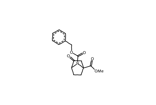 COC(=O)C12CCC(C(=O)C1)N2C(=O)OCc1ccccc1